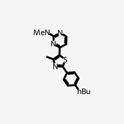 CCCCc1ccc(-c2nc(C)c(-c3ccnc(NC)n3)s2)cc1